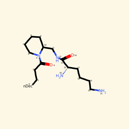 CCCCCCCCCCCCC(=O)N1CCCCC1CNC(=O)[C@@H](N)CCCCN